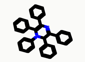 c1ccc(C2=NC(c3ccccc3)=C(c3ccccc3)N(c3ccccc3)C2c2ccccc2)cc1